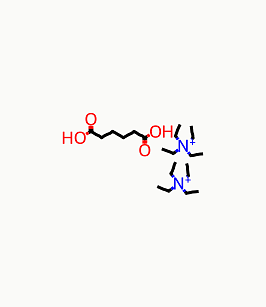 CC[N+](CC)(CC)CC.CC[N+](CC)(CC)CC.O=C(O)CCCCC(=O)O